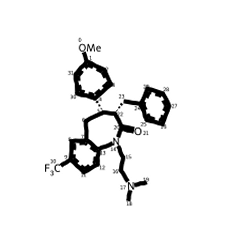 COc1ccc([C@H]2Cc3cc(C(F)(F)F)ccc3N(CCN(C)C)C(=O)[C@H]2Cc2ccccc2)cc1